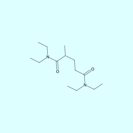 CCN(CC)C(=O)CCC(C)C(=O)N(CC)CC